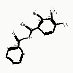 Cc1ccc(C(N)NC(=O)c2ccccc2)c(Br)c1C